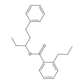 CCCc1ccccc1C(=O)OC(CC)CCc1ccccc1